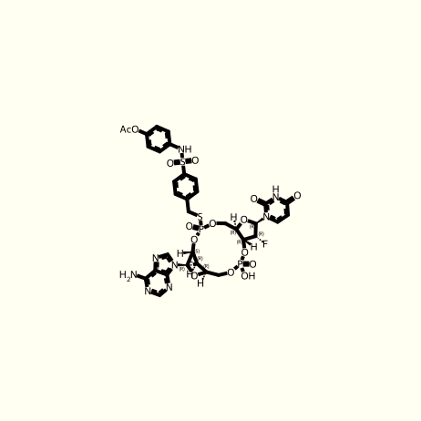 CC(=O)Oc1ccc(NS(=O)(=O)c2ccc(CSP3(=O)OC[C@H]4O[C@@H](n5ccc(=O)[nH]c5=O)[C@H](F)[C@@H]4OP(=O)(O)OC[C@H]4O[C@@H](n5cnc6c(N)ncnc65)[C@H](O3)[C@@H]4F)cc2)cc1